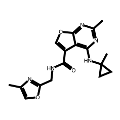 Cc1coc(CNC(=O)c2coc3nc(C)nc(NC4(C)CC4)c23)n1